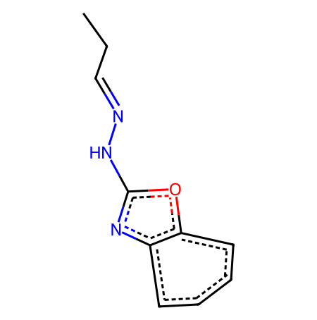 CCC=NNc1nc2ccccc2o1